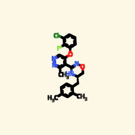 Cc1ccc(C[C@@H]2CON=C(c3c(Oc4cccc(Cl)c4F)cnnc3C)N2)c(C)c1